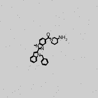 Cn1c(-c2cc3ccccc3n2Cc2ccccc2)nc2cc(C(=O)N3CCCC(N)C3)ccc21